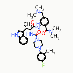 Cc1cc(F)ccc1N1CCN(C(=O)N[C@@H](C(=O)Nc2cc(CN(C)C)ccc2C(=O)N(C)C)[C@H](C)c2c[nH]c3ccccc23)CC1